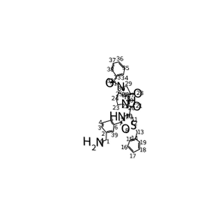 NCc1cccc(C(=O)N[C@@H](CSCc2ccccc2)C(=O)N2CCC3[C@H]2C(=O)CN3C(=O)c2ccccc2)c1